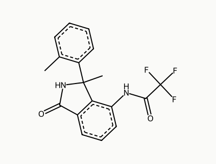 Cc1ccccc1C1(C)NC(=O)c2cccc(NC(=O)C(F)(F)F)c21